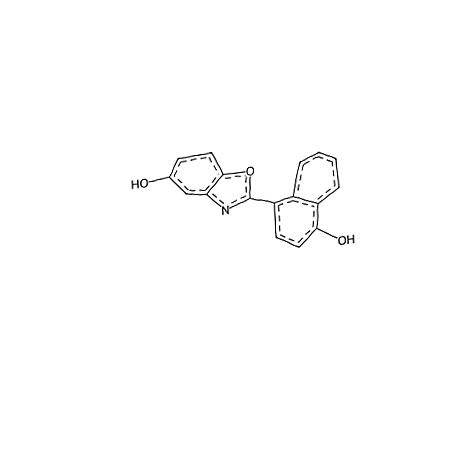 Oc1ccc2oc(-c3ccc(O)c4ccccc34)nc2c1